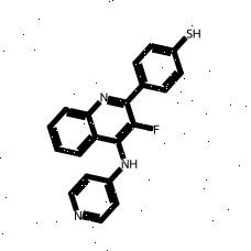 Fc1c(-c2ccc(S)cc2)nc2ccccc2c1Nc1ccncc1